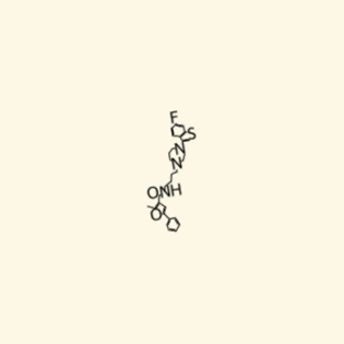 Cc1oc(-c2ccccc2)cc1C(=O)NCCCCN1CCCN(c2csc3cc(F)ccc23)CC1